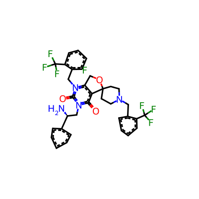 N[C@@H](Cn1c(=O)c2c(n(Cc3c(F)cccc3C(F)(F)F)c1=O)COC21CCN(Cc2ccccc2C(F)(F)F)CC1)c1ccccc1